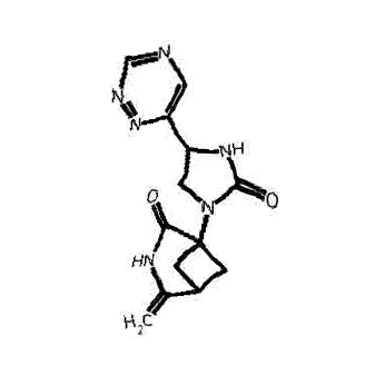 C=C1NC(=O)C2(N3CC(c4cncnn4)NC3=O)CC1C2